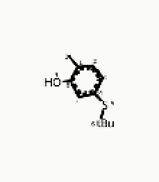 Cc1ccc(SC(C)(C)C)cc1O